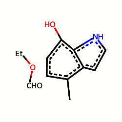 CCOC=O.Cc1ccc(O)c2[nH]ccc12